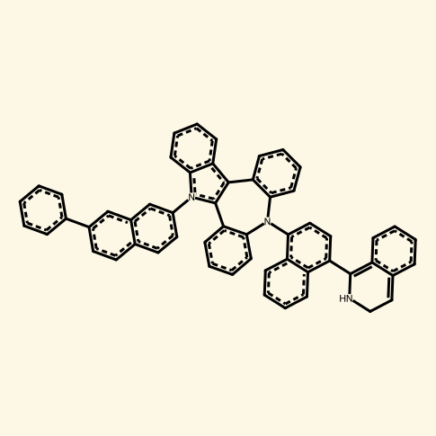 C1=c2ccccc2=C(c2ccc(N3c4ccccc4-c4c(n(-c5ccc6ccc(-c7ccccc7)cc6c5)c5ccccc45)-c4ccccc43)c3ccccc23)NC1